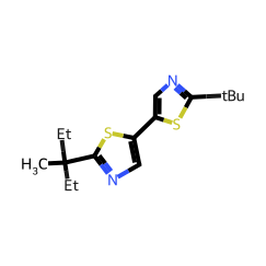 CCC(C)(CC)c1ncc(-c2cnc(C(C)(C)C)s2)s1